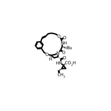 C=C[C@@H]1C[C@]1(NC(=O)[C@@H]1C[C@@H]2CN1C(=O)[C@H](CCCC)NC(=O)OCCC/C=C/c1cccc(c1)CO2)C(=O)O